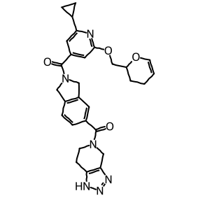 O=C(c1cc(OCC2CCC=CO2)nc(C2CC2)c1)N1Cc2ccc(C(=O)N3CCc4[nH]nnc4C3)cc2C1